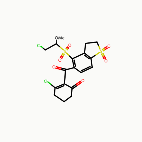 COC(CCl)S(=O)(=O)c1c(C(=O)C2=C(Cl)CCCC2=O)ccc2c1CCS2(=O)=O